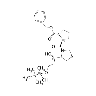 CC(C)(C)[Si](C)(C)OCC[C@@H](O)C1CSCN1C(=O)[C@@H]1CCCN1C(=O)OCc1ccccc1